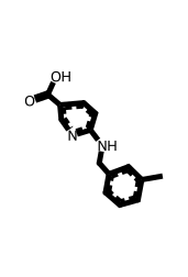 Cc1cccc(CNc2ccc(C(=O)O)cn2)c1